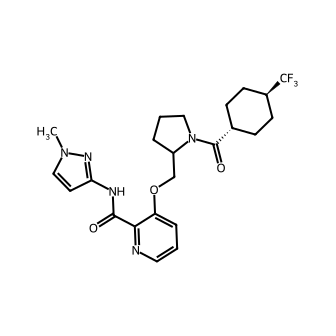 Cn1ccc(NC(=O)c2ncccc2OCC2CCCN2C(=O)[C@H]2CC[C@H](C(F)(F)F)CC2)n1